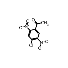 CC(=O)c1cc([N+](=O)[O-])c(Cl)cc1[N+](=O)[O-]